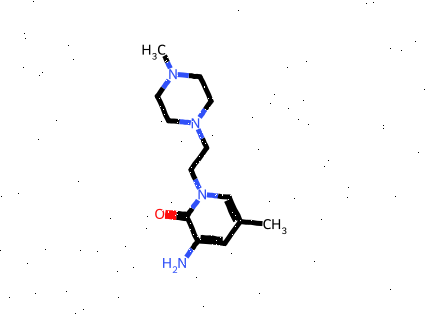 Cc1cc(N)c(=O)n(CCN2CCN(C)CC2)c1